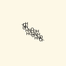 CC(C)(C)OC(=O)NCCNC(=O)[C@H](O)[C@@H](O)C(=O)NCCNC(=O)OC(C)(C)C